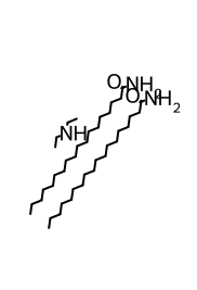 CCCCCCCCCCCCCCCCCC(N)=O.CCCCCCCCCCCCCCCCCC(N)=O.CCNCC